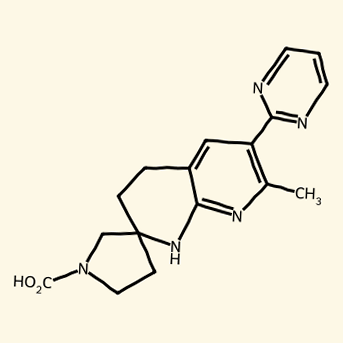 Cc1nc2c(cc1-c1ncccn1)CCC1(CCN(C(=O)O)C1)N2